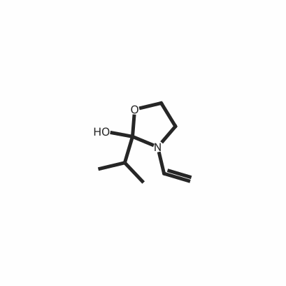 C=CN1CCOC1(O)C(C)C